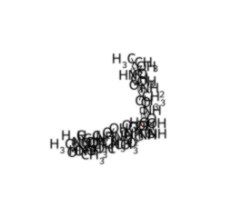 CC(C)C[C@H](N)C(=O)O.CC(C)C[C@H](N)C(=O)O.CN[C@@H](C)C(=O)O.CN[C@@H](CC(C)C)C(=O)O.CN[C@@H](CC(C)C)C(=O)O.C[C@H](N)C(=O)O.O=C(O)[C@@H]1CCCN1.O=C(O)[C@@H]1CCCN1.O=C1CC[C@@H](C(=O)O)N1.O=C1CC[C@@H](C(=O)O)N1